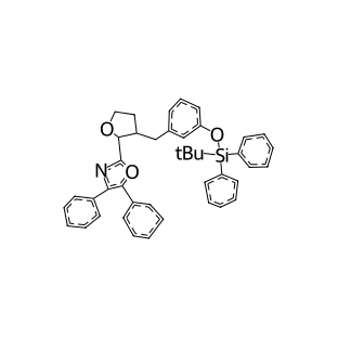 CC(C)(C)[Si](Oc1cccc(CC2CCOC2c2nc(-c3ccccc3)c(-c3ccccc3)o2)c1)(c1ccccc1)c1ccccc1